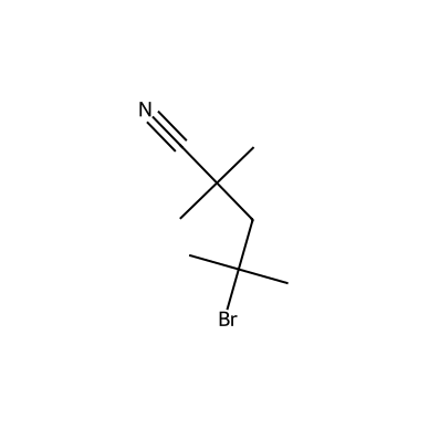 CC(C)(Br)CC(C)(C)C#N